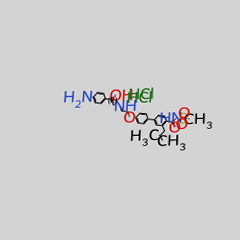 CC(C)Cc1cc(-c2ccc(OCCNC[C@H](O)c3ccc(N)cc3)cc2)ccc1C(=O)NS(C)(=O)=O.Cl.Cl